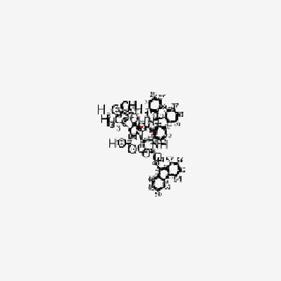 CC(C)(C)[Si](C)(C)O[C@@H]1C[C@@H](C(=O)O)N(C(=O)[C@H](CC(=O)NC(c2ccccc2)(c2ccccc2)c2ccccc2)NC(=O)OCC2c3ccccc3-c3ccccc32)C1